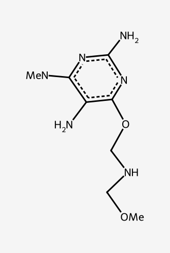 CNc1nc(N)nc(OCNCOC)c1N